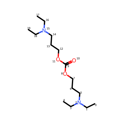 CCN(CC)CCCOC(=O)OCCCN(CC)CC